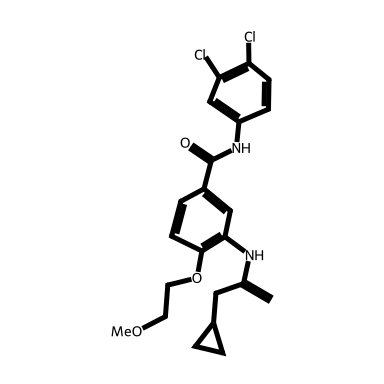 C=C(CC1CC1)Nc1cc(C(=O)Nc2ccc(Cl)c(Cl)c2)ccc1OCCOC